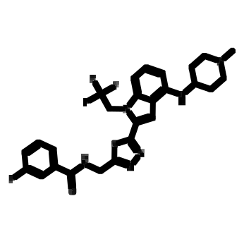 CN1CCC(Nc2cccc3c2cc(-c2nnc(CNC(=O)c4cccc(F)c4)s2)n3CC(F)(F)F)CC1